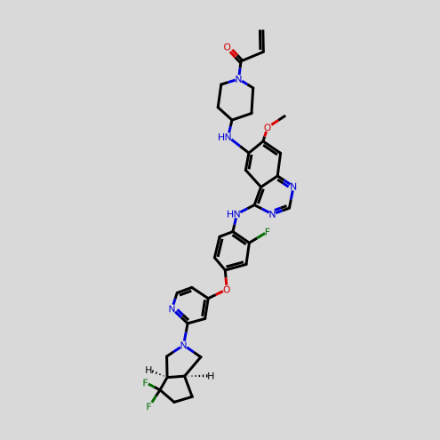 C=CC(=O)N1CCC(Nc2cc3c(Nc4ccc(Oc5ccnc(N6C[C@H]7CCC(F)(F)[C@H]7C6)c5)cc4F)ncnc3cc2OC)CC1